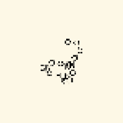 CC1(c2cccc(-c3nc(-c4ccc(-c5cccc(-c6cccc(-c7ccccc7)c6)c5)cc4)cc(-c4ccc(-c5cccc(-n6c7ccccc7c7ccccc76)c5)cc4)n3)c2)CC=Cc2ccccc21